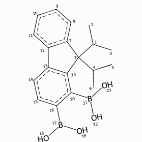 CC(C)C1(C(C)C)c2ccccc2-c2ccc(B(O)O)c(B(O)O)c21